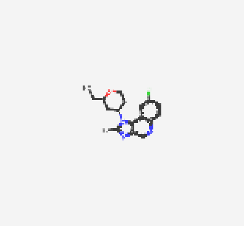 CCc1nc2cnc3ccc(Cl)cc3c2n1[C@@H]1CCO[C@H](CC#N)C1